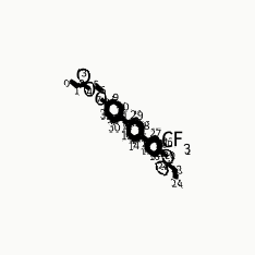 C=CC(=O)O/C=C\Oc1ccc(-c2ccc(-c3ccc(OC(=O)C=C)c(C(F)(F)F)c3)cc2)cc1